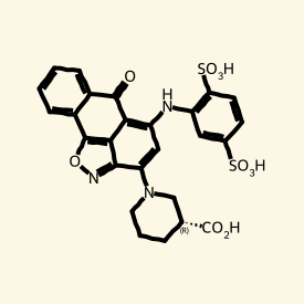 O=C1c2ccccc2-c2onc3c(N4CCC[C@@H](C(=O)O)C4)cc(Nc4cc(S(=O)(=O)O)ccc4S(=O)(=O)O)c1c23